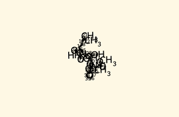 COC(=O)[C@H](C)NP(=O)(OCC1OC(n2cc(/C=C/C=C(C)C)c(=O)[nH]c2=O)CC1O)Oc1ccccc1